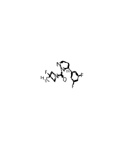 CC1(F)CN(C(=O)N2N=CC[C@H]2c2cc(F)cc(F)c2)C1